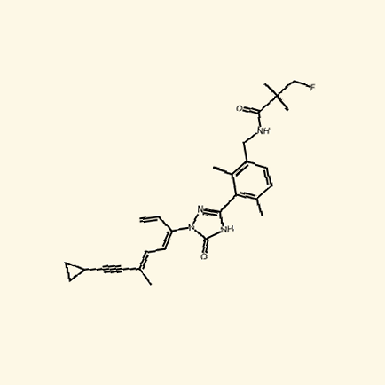 C=C/C(=C\C=C(/C)C#CC1CC1)n1nc(-c2c(C)ccc(CNC(=O)C(C)(C)CF)c2C)[nH]c1=O